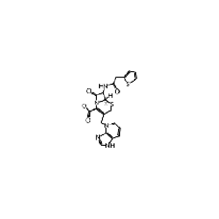 O=C(Cc1cccs1)NC1C(=O)N2C(C(=O)[O-])=C(C[n+]3cccc4[nH]cnc43)CS[C@@H]12